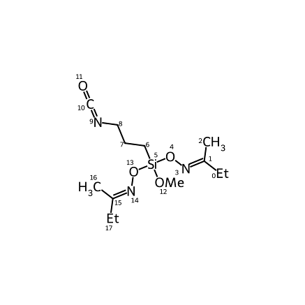 CCC(C)=NO[Si](CCCN=C=O)(OC)ON=C(C)CC